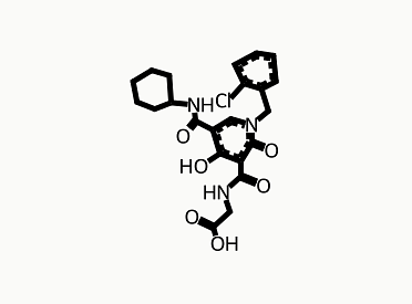 O=C(O)CNC(=O)c1c(O)c(C(=O)NC2CCCCC2)cn(Cc2ccccc2Cl)c1=O